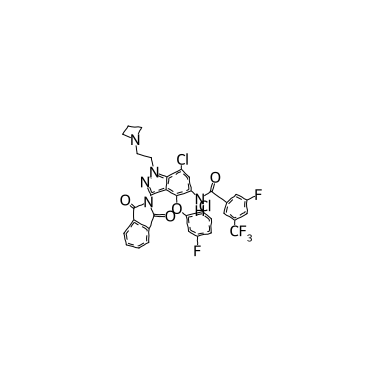 O=C(Nc1cc(Cl)c2c(c(N3C(=O)c4ccccc4C3=O)nn2CCN2CCC2)c1Oc1cc(F)ccc1Cl)c1cc(F)cc(C(F)(F)F)c1